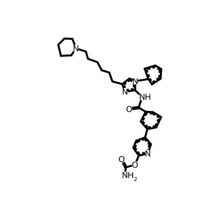 NC(=O)Oc1ccc(-c2cccc(C(=O)Nc3nc(CCCCCCN4CCCCC4)cn3-c3ccccc3)c2)cn1